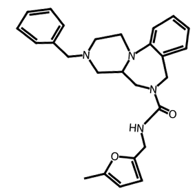 Cc1ccc(CNC(=O)N2Cc3ccccc3N3CCN(Cc4ccccc4)CC3C2)o1